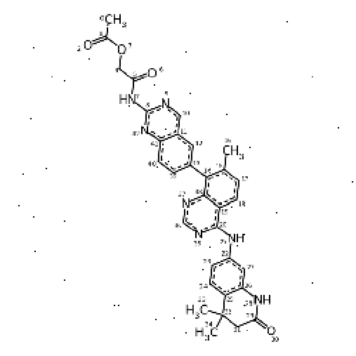 CC(=O)OCC(=O)Nc1ncc2cc(-c3c(C)ccc4c(Nc5ccc6c(c5)NC(=O)CC6(C)C)ncnc34)ccc2n1